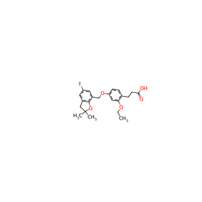 CCOc1cc(OCc2cc(F)cc3c2OC(C)(C)C3)ccc1CCC(=O)O